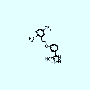 N#Cc1[nH]nnc1-c1cccc(OCCc2cc(C(F)(F)F)ccc2C(F)(F)F)c1